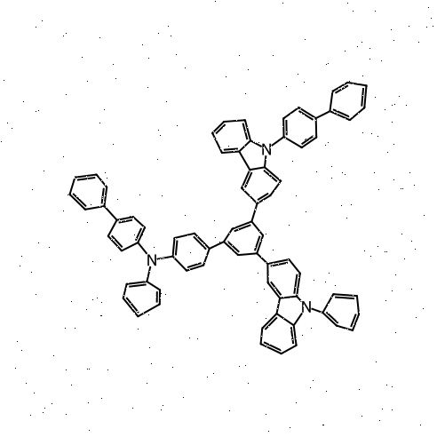 c1ccc(-c2ccc(N(c3ccccc3)c3ccc(-c4cc(-c5ccc6c(c5)c5ccccc5n6-c5ccccc5)cc(-c5ccc6c(c5)c5ccccc5n6-c5ccc(-c6ccccc6)cc5)c4)cc3)cc2)cc1